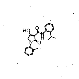 Cc1ccccc1N1CC(O)=C(C(=O)Nc2ccccc2C(C)C)C1=O